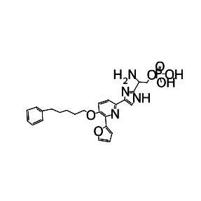 NC(COP(=O)(O)O)c1nc(-c2ccc(OCCCCCc3ccccc3)c(-c3ccco3)n2)c[nH]1